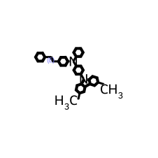 CCc1ccc2c(c1)c1cc(CC)ccc1n2-c1ccc(N(c2ccccc2)c2ccc(/C=C/c3ccccc3)cc2)cc1